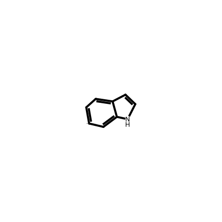 [c]1ccc2cc[nH]c2c1